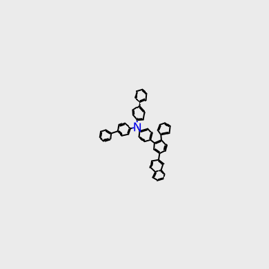 c1ccc(-c2ccc(N(c3ccc(-c4ccccc4)cc3)c3ccc(-c4cc(-c5ccc6ccccc6c5)ccc4-c4ccccc4)cc3)cc2)cc1